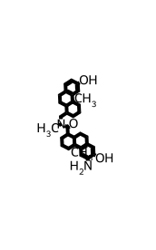 CN(CC1CCCC2(C)c3cc(O)ccc3CCC12)C(=O)C1CCCC2(C)c3cc(N)c(O)cc3CCC12